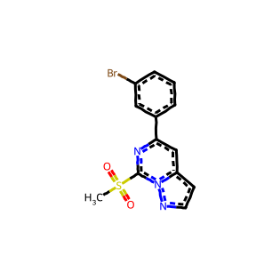 CS(=O)(=O)c1nc(-c2cccc(Br)c2)cc2ccnn12